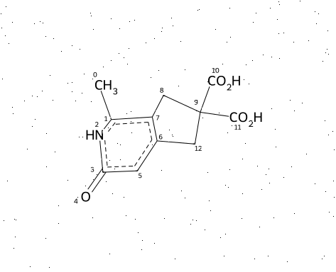 Cc1[nH]c(=O)cc2c1CC(C(=O)O)(C(=O)O)C2